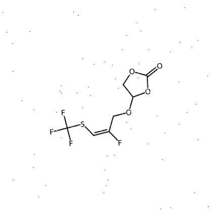 O=C1OCC(OC/C(F)=C\SC(F)(F)F)O1